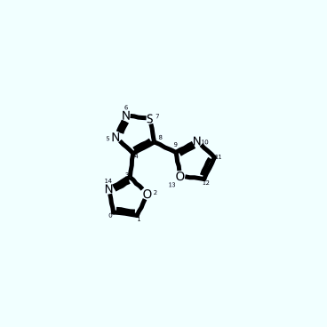 c1coc(-c2nnsc2-c2ncco2)n1